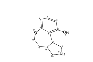 Oc1cccc2c1C1CNCC1CCO2